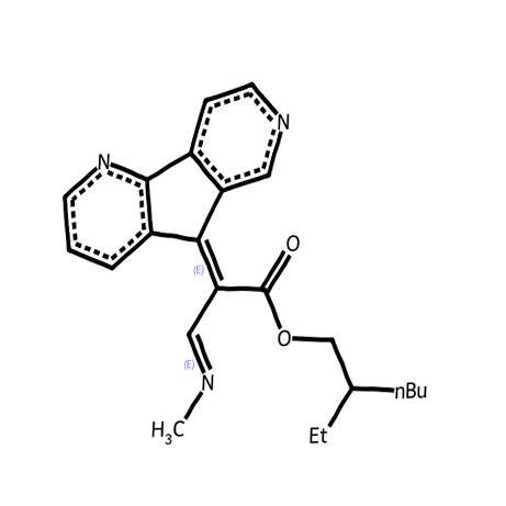 CCCCC(CC)COC(=O)C(/C=N/C)=C1\c2cnccc2-c2ncccc21